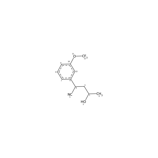 CC(O)CC(C#N)c1cccc(OC(F)(F)F)c1